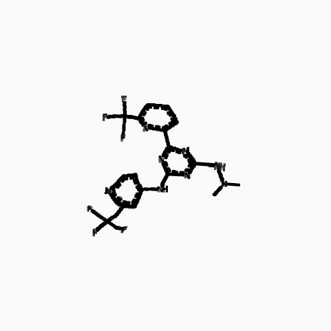 CN(C)Nc1nc(Nc2ccnc(C(F)(F)F)c2)nc(-c2cccc(C(F)(F)F)n2)n1